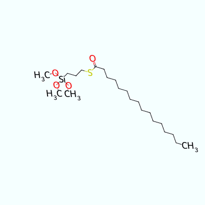 CCCCCCCCCCCCCCCC(=O)SCCC[Si](OC)(OC)OC